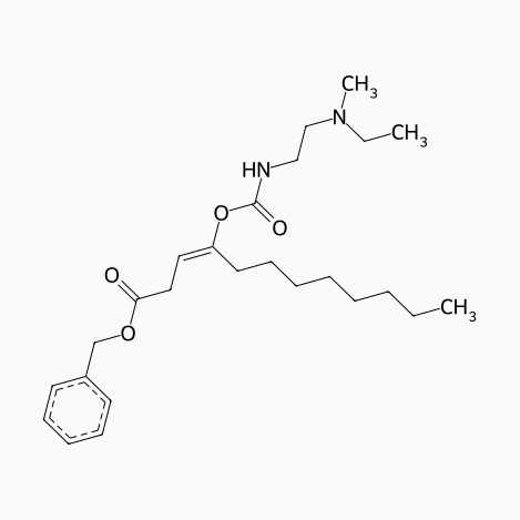 CCCCCCCC/C(=C\CC(=O)OCc1ccccc1)OC(=O)NCCN(C)CC